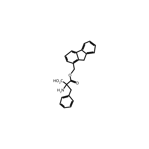 NC(Cc1ccccc1)(C(=O)O)C(=O)OCc1cccc2c1Cc1ccccc1-2